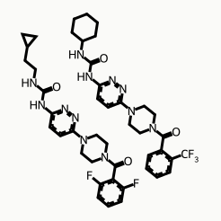 O=C(NCCC1CC1)Nc1ccc(N2CCN(C(=O)c3c(F)cccc3F)CC2)nn1.O=C(Nc1ccc(N2CCN(C(=O)c3ccccc3C(F)(F)F)CC2)nn1)NC1CCCCC1